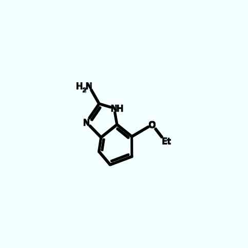 CCOc1cccc2nc(N)[nH]c12